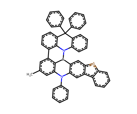 Cc1cc2c3c(c1)N(c1ccccc1)c1cc4c(cc1B3N1c3ccccc3C(c3ccccc3)(c3ccccc3)c3cccc-2c31)sc1ccccc14